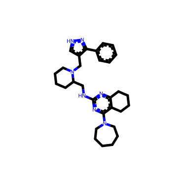 c1ccc(-c2n[nH]cc2CN2CCCCC2CNc2nc3c(c(N4CCCCCC4)n2)CCCC3)cc1